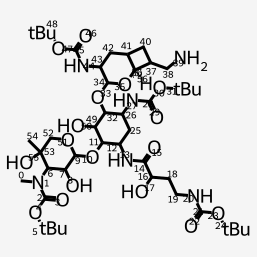 CN(C(=O)OC(C)(C)C)C1C(O)C(OC2C(NC(=O)C(O)CCNC(=O)OC(C)(C)C)CC(NC(=O)OC(C)(C)C)C(OC3O[C@@H]4C(CN)CC4CC3NC(=O)OC(C)(C)C)C2O)OCC1(C)O